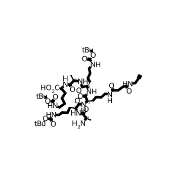 C#CCNC(=O)CCC(=O)NCCCC[C@@H](NC(=O)[C@H](CCCCNC(=O)OC(C)(C)C)NC(=O)[C@@H](C)N)C(=O)N[C@@H](CCCCNC(=O)OC(C)(C)C)C(=O)N[C@H](C)C(=O)N[C@@H](CCCCNC(=O)OC(C)(C)C)C(=O)O